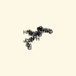 CC1(C)CCC(CN2CCN(c3ccc(C(=O)NS(=O)(=O)c4ccc(NC5CCN(C6CCOCC6)CC5)c([N+](=O)[O-])c4)c(Oc4cnc5[nH]ccc5c4)c3)CC2)=C(c2ccc(Cl)cc2)C1